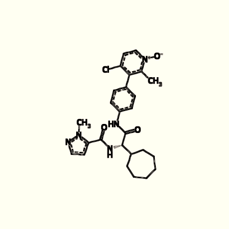 Cc1c(-c2ccc(NC(=O)[C@@H](NC(=O)c3ccnn3C)C3CCCCCC3)cc2)c(Cl)cc[n+]1[O-]